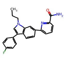 CCCn1cc(-c2ccc(F)cc2)c2ccc(-c3cccc(C(N)=O)n3)cc21